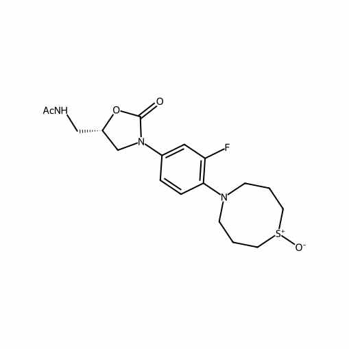 CC(=O)NC[C@H]1CN(c2ccc(N3CCC[S+]([O-])CCC3)c(F)c2)C(=O)O1